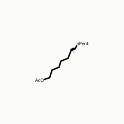 CCCCC/C=C/CCCCCOC(C)=O